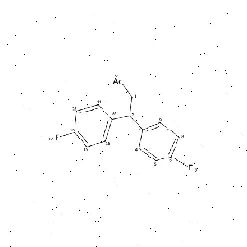 CC(=O)CC(c1ccc(F)cc1)c1ccc(F)cc1